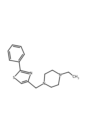 CCN1CCN(Cc2csc(-c3ccccc3)n2)CC1